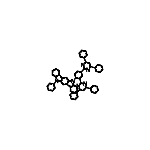 c1ccc(-c2cc(-c3ccccc3)nc(-c3ccc(-n4c5ccccc5c5cc6c(cc54)c4ccccc4n6-c4ccccc4)c(-c4nc(-c5ccccc5)cc(-c5ccccc5)n4)c3)n2)cc1